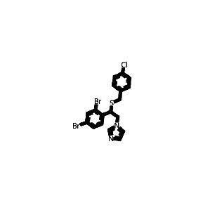 Clc1ccc(CSC(Cn2ccnc2)c2ccc(Br)cc2Br)cc1